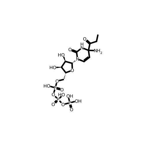 CCC(=O)C1(N)C=CN([C@@H]2O[C@H](COP(=O)(O)OP(=O)(O)OP(=O)(O)O)[C@@H](O)[C@H]2O)C(=O)N1